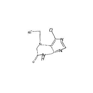 N#CCN1CC(=O)Nc2ncnc(Cl)c21